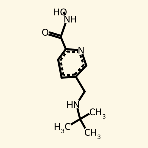 CC(C)(C)NCc1ccc(C(=O)NO)nc1